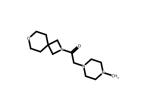 CN1CCN(CC(=O)N2CC3(CCOCC3)C2)CC1